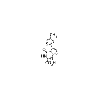 Cc1csc(-c2csc3nc(C(=O)O)[nH]c(=O)c23)n1